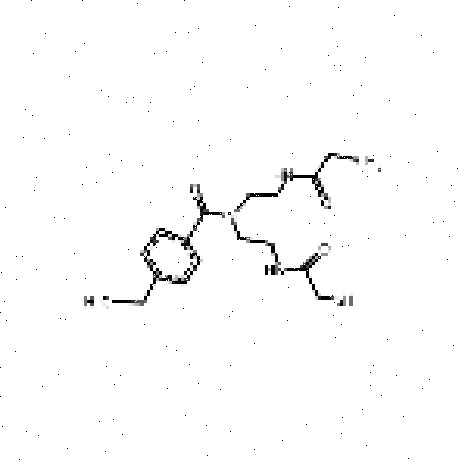 CCC(=O)NCCN(CCNC(=O)CS)C(=O)c1ccc(CC)cc1